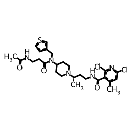 CC(=O)NCCC(=O)N(Cc1ccsc1)C1CCN([C@H](C)CCNC(=O)c2c(C)cc(Cl)nc2Cl)CC1